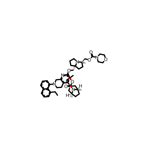 CCc1cccc2cccc(N3CCc4c(nc(OC[C@]56CCCN5[C@@H](COC(=O)N5CCOCC5)CC6)nc4N4C[C@H]5CC[C@@H](C4)N5C(=O)OC(C)(C)C)C3)c12